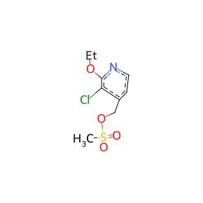 CCOc1nccc(COS(C)(=O)=O)c1Cl